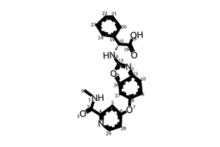 CNC(=O)c1cc(Oc2ccc3nc(N[C@@H](C(=O)O)c4ccccc4)oc3c2)ccn1